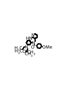 CO[C@H]1CC[C@H](C(=O)N2Cc3cccnc3Nc3ccc(N4CC(C)(C)OC(C)(C)C4)cc32)CC1